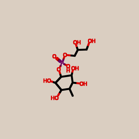 CC1C(O)C(O)C(OP(=O)(O)OCC(O)CO)C(O)C1O